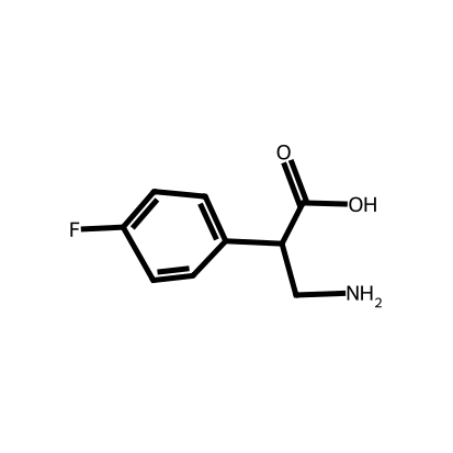 NCC(C(=O)O)c1ccc(F)cc1